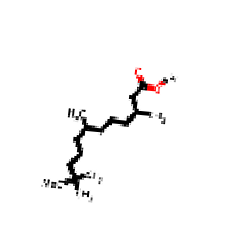 COC(C)(C)CCCC(C)CCCC(C)CC(=O)OC(C)C